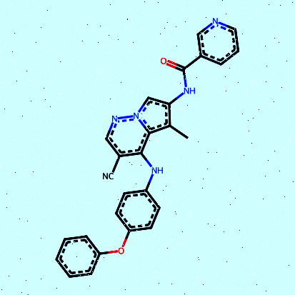 Cc1c(NC(=O)c2cccnc2)cn2ncc(C#N)c(Nc3ccc(Oc4ccccc4)cc3)c12